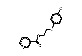 O=C(OCCOc1ccc(Cl)cc1)c1cccnc1